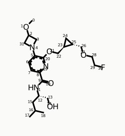 COC1CN(c2ccc(C(=O)N[C@H](CO)CC(C)C)nc2OC[C@H]2C[C@@H]2COCCF)C1